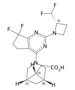 O=C(O)C[C@H]1[C@@H]2C[C@H]1CN(c1nc(N3CC[C@H]3C(F)F)nc3c1CCC3(F)F)C2